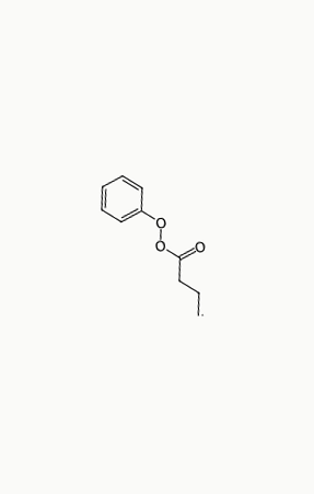 [CH2]CCC(=O)OOc1ccccc1